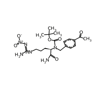 CC(=O)c1ccc(CN(C(=O)OC(C)(C)C)[C@H](CCCNC(N)=N[N+](=O)[O-])C(N)=O)cc1